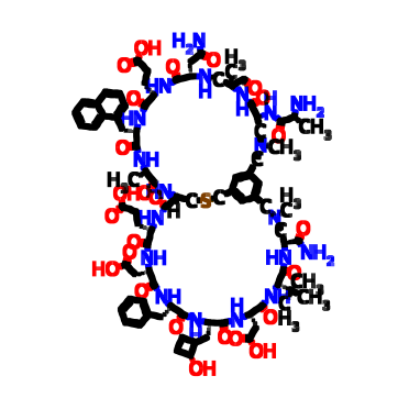 C[C@H](N)C(=O)N[C@H]1CN(C)Cc2cc3cc(c2)CN(C)C[C@@H](C(N)=O)NC(=O)[C@H](C(C)(C)C)NC(=O)[C@H](CC(=O)O)NC(=O)[C@H](CC2CC[C@@H]2O)NC(=O)[C@H](Cc2ccccc2)NC(=O)[C@H](CC(=O)O)NC(=O)[C@H](CCC(=O)O)NC(=O)[C@@H](CSC3)NC(=O)[C@@H](C)NC(=O)[C@H](Cc2cccc3ccccc23)NC(=O)[C@H](CCC(=O)O)NC(=O)[C@H](CC(N)=O)NC[C@](C)(C=O)NC1=O